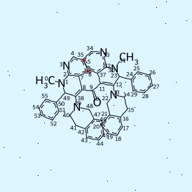 CN1c2ncccc2C(C(=O)C2=C(N3CCc4ccccc4C3)C(c3ccccc3)N(C)c3ncccc32)=C(N2CCc3ccccc3C2)C1c1ccccc1